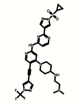 CN(C)CCNC1CCN(c2cc(Nc3ccnc(-c4cnn(S(=O)(=O)C5CC5)c4)n3)ncc2C#Cc2cnn(C(F)(F)F)c2)CC1